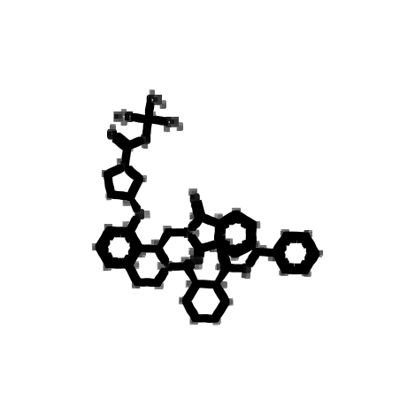 CC(C)(C)OC(=O)N1CC[C@H](Oc2cccc3c2[C@@H](CN2C(=O)c4ccccc4C2=O)N(C(=O)[C@@H]2CCCC[C@@H]2C(=O)OCc2ccccc2)CC3)C1